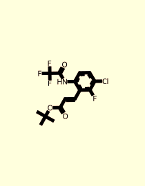 CC(C)(C)OC(=O)C=Cc1c(NC(=O)C(F)(F)F)ccc(Cl)c1F